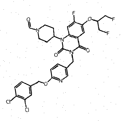 O=CN1CCC(n2c(=O)n(Cc3ccc(OCc4ccc(Cl)c(Cl)c4)nc3)c(=O)c3cc(OC(CF)CF)c(F)cc32)CC1